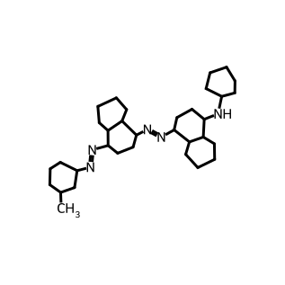 CC1CCCC(N=NC2CCC(N=NC3CCC(NC4CCCCC4)C4CCCCC34)C3CCCCC23)C1